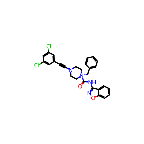 O=C(Nc1noc2ccccc12)[N+]1(Cc2ccccc2)CCN(C#Cc2cc(Cl)cc(Cl)c2)CC1